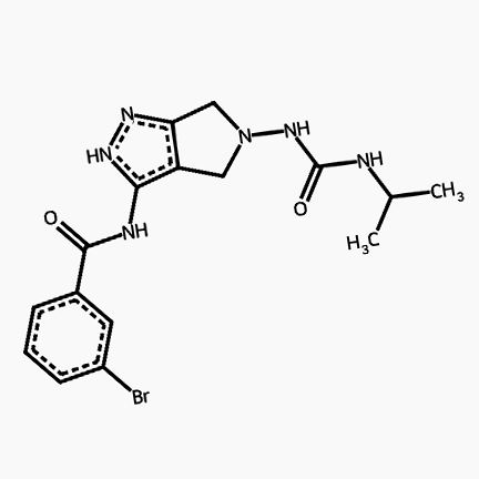 CC(C)NC(=O)NN1Cc2n[nH]c(NC(=O)c3cccc(Br)c3)c2C1